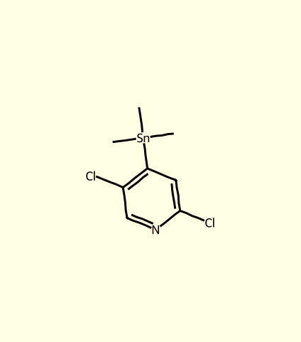 [CH3][Sn]([CH3])([CH3])[c]1cc(Cl)ncc1Cl